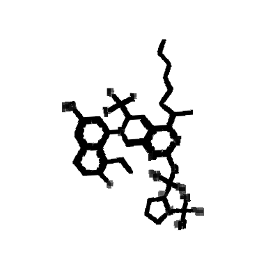 [2H]C([2H])(Oc1nc(C(C)CCCCCC)c2c(n1)=CN(c1cc(O)cc3ccc(F)c(CC)c13)C(C(F)(F)F)C=2)[C@@H]1CCCN1C([2H])([2H])[2H]